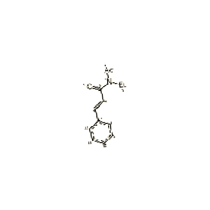 CCN(C(C)=O)C(=O)/C=C/c1ccccc1